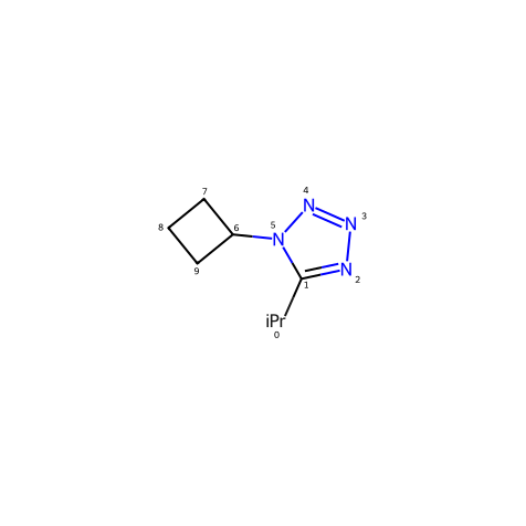 CC(C)c1nnnn1C1CCC1